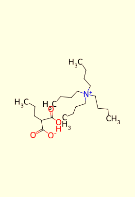 CCCC(C(=O)[O-])C(=O)O.CCCC[N+](CCCC)(CCCC)CCCC